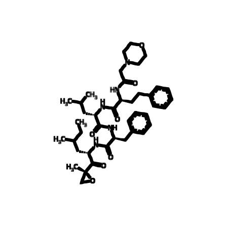 CCC(C)C[C@H](NC(=O)[C@H](Cc1ccccc1)NC(=O)[C@H](CC(C)C)NC(=O)[C@H](CCc1ccccc1)NC(=O)CN1CCOCC1)C(=O)[C@@]1(C)CO1